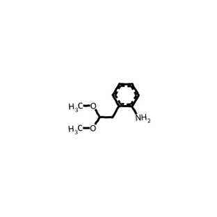 COC(Cc1ccccc1N)OC